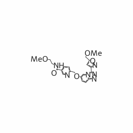 COCCNC(=O)c1ccc(COc2ccc3nnc(-c4cc(COC)on4)n3c2)nc1